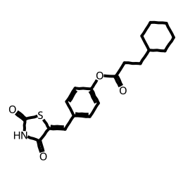 O=C(CCC1CCCCC1)Oc1ccc(/C=C2\SC(=O)NC2=O)cc1